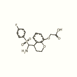 NC(C1CCOc2c(OCC(=O)O)cccc21)S(=O)(=O)c1ccc(F)cc1